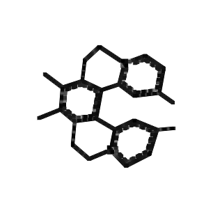 Cc1cc[n+]2c(c1)-c1c(c(C)c(C)c3c1-c1cc(C)cc[n+]1CC3)CC2